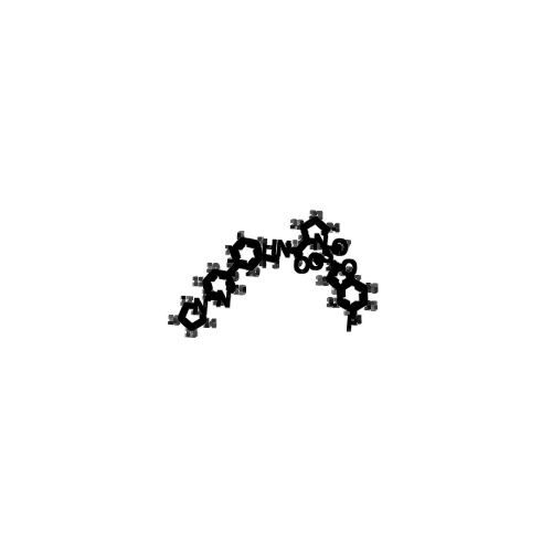 O=C(NCc1cccc(-c2ccc(N3CCCC3)nc2)c1)C1CCCN1S(=O)(=O)c1cc2cc(F)ccc2o1